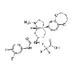 CN1CC[C@]2(c3ccc4c(c3)OCCCO4)CC[C@@H](NC(=O)Nc3ccc(F)c(F)c3)C[C@H]12.O=C(O)C(F)(F)F